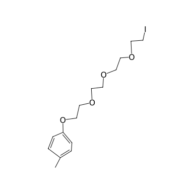 Cc1ccc(OCCOCCOCCOCCI)cc1